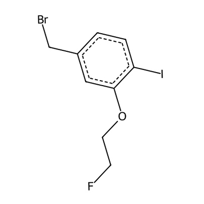 FCCOc1cc(CBr)ccc1I